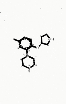 Cc1ccc(O[C@H]2CCNC2)c(N2CCNCC2)c1